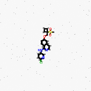 CS(=O)(=O)C1(COc2ccc3c(Nc4ccc(Cl)nc4)nccc3c2)CCC1